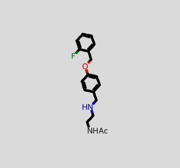 CC(=O)NCCNCc1ccc(OCc2ccccc2F)cc1